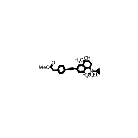 CCOC(=O)c1cc(C#Cc2ccc(CC(=O)OC)cc2)cc2c1C(N(C)C1CC1)CCC2(C)C